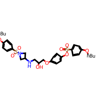 CCCCOc1ccc(S(=O)(=O)Oc2ccc(OCC(O)CNC3CN(S(=O)(=O)c4ccc(OCCCC)cc4)C3)cc2)cc1